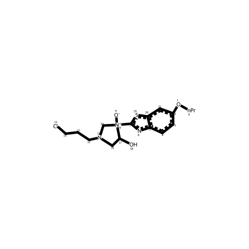 CCCOc1ccc2nc([N+]3([O-])CN(CCCCl)CC3O)sc2c1